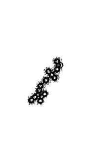 c1ccc2c(c1)-c1ccccc1C21c2cc3ccccc3cc2-c2cc3ccc(-c4ccc(-c5c6ccccc6c(-c6ccc7oc8ccccc8c7c6)c6ccccc56)cc4)cc3cc21